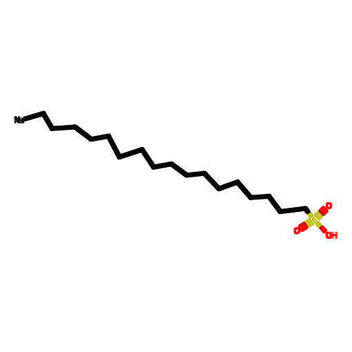 O=S(=O)(O)CCCCCCCCCCCCCCCC[CH2][Na]